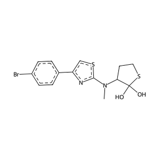 CN(c1nc(-c2ccc(Br)cc2)cs1)C1CCSC1(O)O